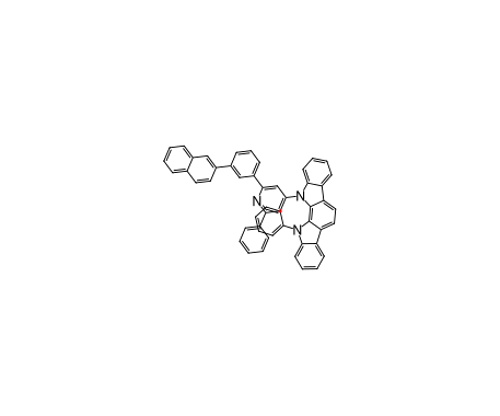 c1ccc(-c2cc(-n3c4ccccc4c4ccc5c6ccccc6n(-c6ccccc6)c5c43)cc(-c3cccc(-c4ccc5ccccc5c4)c3)n2)cc1